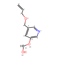 C=CCOCc1cncc(OBO)c1